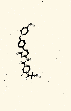 C[C@@H]1CN(C(=O)Nc2ccn(-c3ccc(CN4CCC(N)CC4)cc3)c(=O)n2)CCN1C(=O)C(C)(C)N